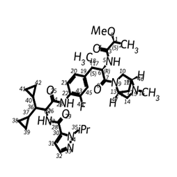 CO[C@@H](C)C(=O)N[C@@H](C(=O)N1C[C@H]2C[C@@H]1CN2C)[C@@H](C)c1ccc(NC(=O)[C@@H](NC(=O)c2ccnn2C(C)C)C(C2CC2)C2CC2)c(F)c1